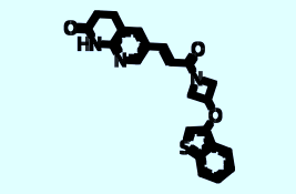 O=C1CCc2cc(C=CC(=O)N3CC(Oc4csc5ccccc45)C3)cnc2N1